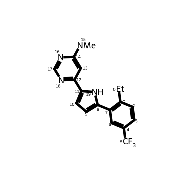 CCc1ccc(C(F)(F)F)cc1-c1ccc(-c2cc(NC)ncn2)[nH]1